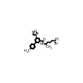 CCN(CC)CCCC(C)NC(=O)c1cc(-c2ccc(C)cc2)cc(-n2cnnn2)c1